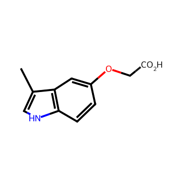 Cc1c[nH]c2ccc(OCC(=O)O)cc12